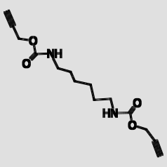 C#CCOC(=O)NCCCCCCNC(=O)OCC#C